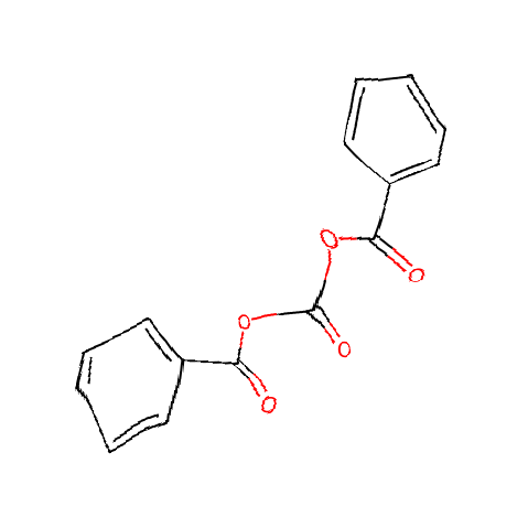 O=C(OC(=O)c1ccccc1)OC(=O)c1ccccc1